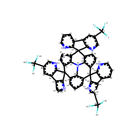 FC(F)(F)c1cnc2c(c1)-c1cccnc1C21c2cccc3c2N2c4c1cccc4C1(c4cccc(c42)C32c3ncccc3-c3cc(C(F)(F)F)cnc32)c2ncccc2-c2cc(C(F)(F)F)cnc21